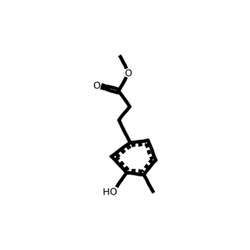 COC(=O)CCc1ccc(C)c(O)c1